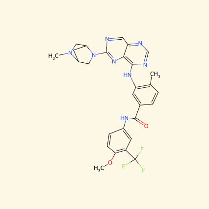 COc1ccc(NC(=O)c2ccc(C)c(Nc3ncnc4cnc(N5CC6CC5CN6C)nc34)c2)cc1C(F)(F)F